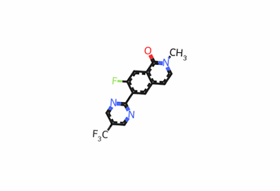 Cn1ccc2cc(-c3ncc(C(F)(F)F)cn3)c(F)cc2c1=O